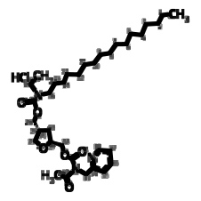 CCCCCCCCCCCCCCCCCN(CC)C(=O)OC[C@H]1CO[C@H](COC(=O)N(Cc2ccccn2)C(C)=O)C1.Cl